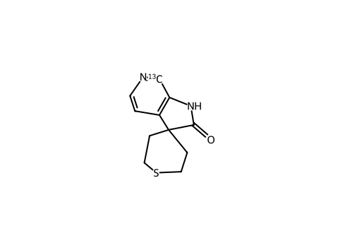 O=C1Nc2[13cH]nccc2C12CCSCC2